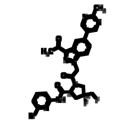 CC(=O)c1nn(CC(=O)N2C[C@@](F)(CF)C[C@H]2C(=O)Nc2cccc(Br)n2)c2ccc(-c3cnc(C)nc3)cc12